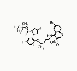 C[C@@H](CCCNc1c([N+](=O)[O-])cnc2ccc(Br)cc12)Oc1ncc(F)cc1[C@H]1C[C@H](F)CN1C(=O)OC(C)(C)C